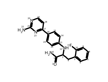 NC(=O)C(Cc1ccccc1F)Nc1ccc(-c2ccnc(N)n2)cc1